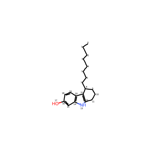 CCCCCCCCC1CCCc2[nH]c3cc(O)ccc3c21